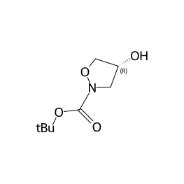 CC(C)(C)OC(=O)N1C[C@@H](O)CO1